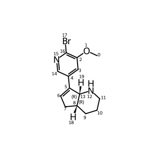 COc1cc(C2=CC[C@H]3CCCN[C@@H]23)cnc1Br